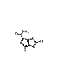 NC(=O)c1n[nH]c2nc(Cl)sc12